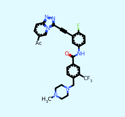 CC(=O)c1ccc2nnc(C#Cc3cc(NC(=O)c4ccc(CN5CCN(C)CC5)c(C(F)(F)F)c4)ccc3F)n2c1